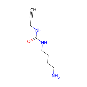 C#CCNC(=O)NCCCCN